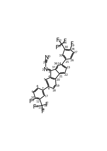 N#CN=C1c2cc(-c3ccc(F)c(C(F)(F)F)c3)ccc2-c2ccc(-c3ccc(F)c(C(F)(F)F)c3)cc21